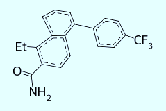 CCc1c(C(N)=O)ccc2c(-c3ccc(C(F)(F)F)cc3)cccc12